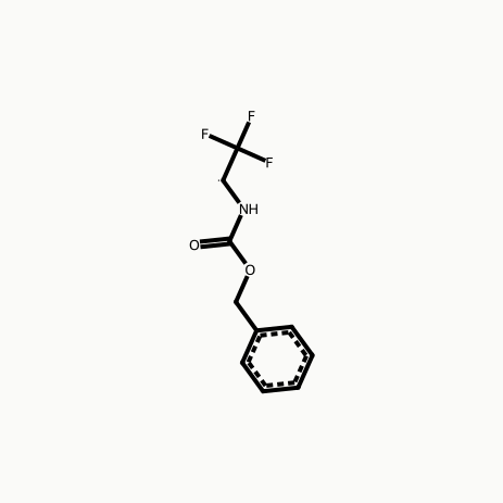 O=C(N[CH]C(F)(F)F)OCc1ccccc1